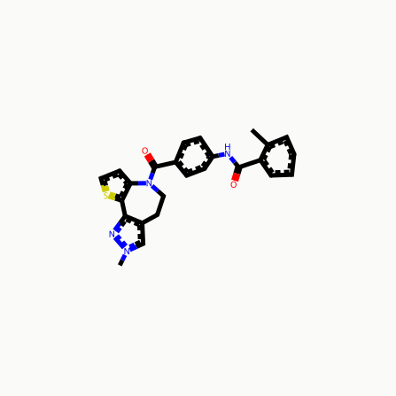 Cc1ccccc1C(=O)Nc1ccc(C(=O)N2CCc3cn(C)nc3-c3sccc32)cc1